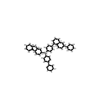 c1ccc(-c2ccc(N(c3ccc(-c4cccc5cc(-c6ccccc6)ccc45)cc3)c3ccc4c(c3)sc3ccccc34)cc2)cc1